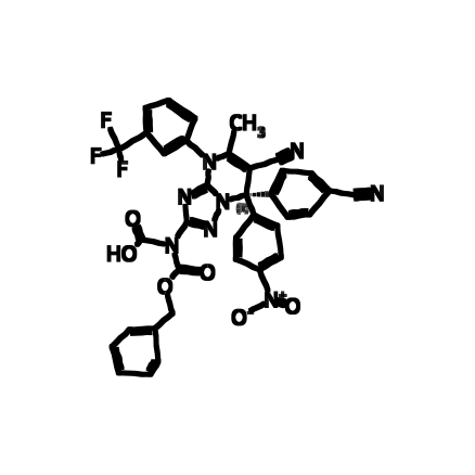 CC1=C(C#N)[C@@](c2ccc(C#N)cc2)(c2ccc([N+](=O)[O-])cc2)n2nc(N(C(=O)O)C(=O)OCc3ccccc3)nc2N1c1cccc(C(F)(F)F)c1